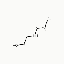 CC(C)OCNCCO